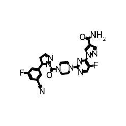 N#Cc1cc(F)cc(C2CC=NN2C(=O)N2CCN(c3ncc(F)c(-n4cc(C(N)=O)cn4)n3)CC2)c1